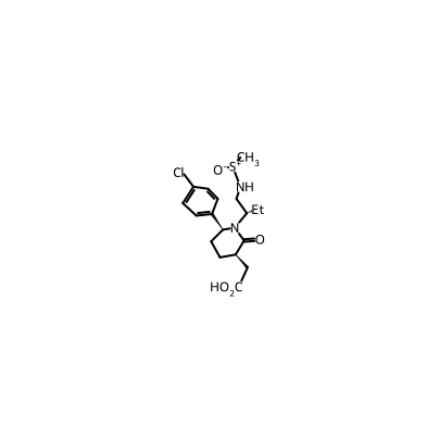 CC[C@@H](CN[S+](C)[O-])N1C(=O)[C@@H](CC(=O)O)CC[C@H]1c1ccc(Cl)cc1